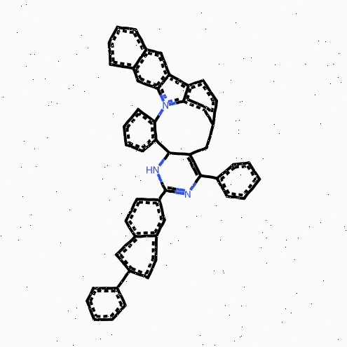 c1ccc(C2=C3Cc4ccc5c6cc7ccccc7cc6n(c5c4)-c4ccccc4C3NC(c3ccc4cc(-c5ccccc5)ccc4c3)=N2)cc1